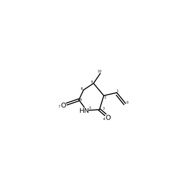 C=CC1C(=O)NC(=O)CC1C